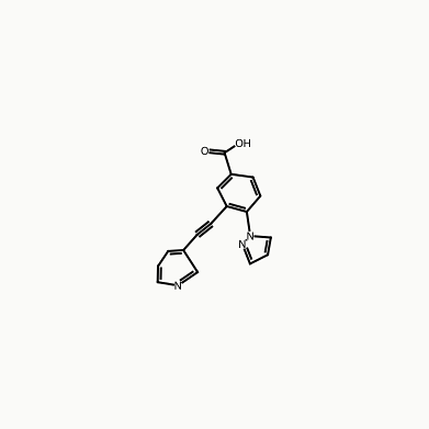 O=C(O)c1ccc(-n2cccn2)c(C#Cc2cccnc2)c1